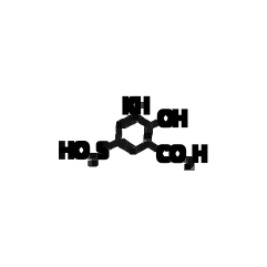 O=C(O)c1cc(S(=O)(=O)O)ccc1O.[KH]